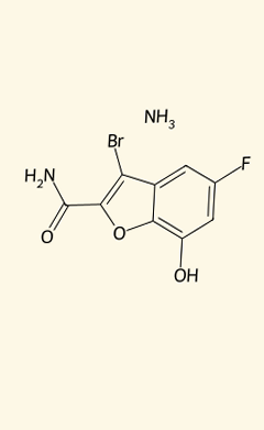 N.NC(=O)c1oc2c(O)cc(F)cc2c1Br